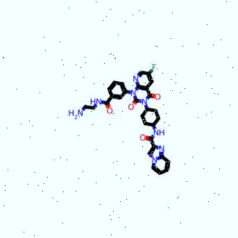 NCCNC(=O)c1cccc(-n2c(=O)n(C3CCC(NC(=O)c4cn5ccccc5n4)CC3)c(=O)c3cc(F)cnc32)c1